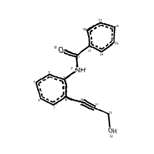 O=C(Nc1ccccc1C#CCO)c1ccccc1